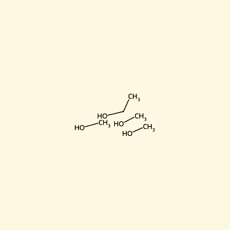 CCO.CO.CO.CO